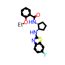 CCOc1ccccc1C(=O)N[C@@H]1CCC[C@H]1Nc1nc2ccc(F)cc2s1